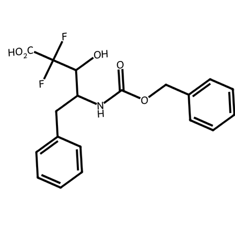 O=C(NC(Cc1ccccc1)C(O)C(F)(F)C(=O)O)OCc1ccccc1